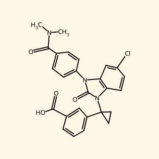 CN(C)C(=O)c1ccc(-n2c(=O)n(C3(c4cccc(C(=O)O)c4)CC3)c3ccc(Cl)cc32)cc1